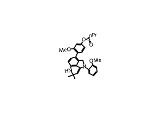 CCCS(=O)Oc1ccc(-c2ccc3c4c2CN(c2ccccc2OC)C4=CC(C)(C)N3)c(OC)c1